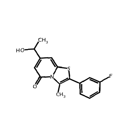 Cc1c(-c2cccc(F)c2)sc2cc(C(C)O)cc(=O)n12